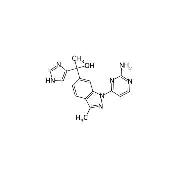 Cc1nn(-c2ccnc(N)n2)c2cc(C(C)(O)c3c[nH]cn3)ccc12